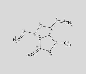 C=CCOCC=C.CC1COC(=O)O1